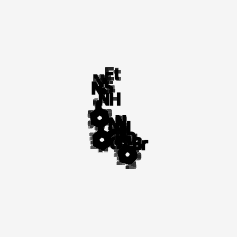 CCc1nnc(NCc2ccc(-c3ccccc3-c3nnnn3S(=O)(=O)c3ccccc3Br)cc2)s1